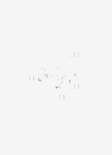 CCCCCC(COC(C)=O)(COC(C)=O)COC(C)=O